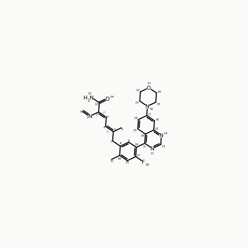 C=N/C(=C\C=C(/C)Cc1cc(-c2ncnc3cc(N4CCOCC4)ccc23)c(F)cc1C)C(N)=O